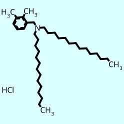 CCCCCCCCCCCCCCN(CCCCCCCCCCCCCC)Cc1cccc(C)c1C.Cl